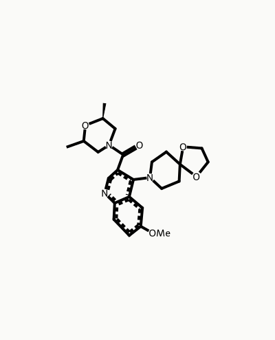 COc1ccc2ncc(C(=O)N3CC(C)O[C@@H](C)C3)c(N3CCC4(CC3)OCCO4)c2c1